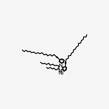 CCCCCCCCCCCCCCCCCC#Cc1cccc(N=C(CCCCCC)C(CCCCCCCCC)=Nc2cccc(C#CCCCCCCCCCCCCCCCCC)c2)c1.[Ni]